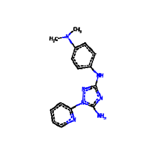 CN(C)c1ccc(Nc2nc(N)n(-c3ccccn3)n2)cc1